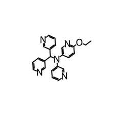 CCOc1ccc(N(c2cccnc2)C(c2cccnc2)c2cccnc2)cn1